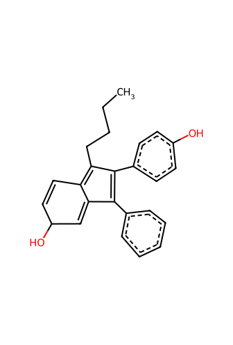 CCCCC1=C2C=CC(O)C=C2C(c2ccccc2)=C1c1ccc(O)cc1